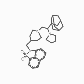 O=S1(=O)c2cccc3cccc(c23)N1CC1CCN(CC(N2CCCC2)C23CC4CC(CC(C4)C2)C3)CC1